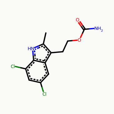 Cc1[nH]c2c(Cl)cc(Cl)cc2c1CCOC(N)=O